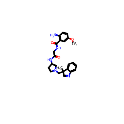 CC1(CN2CCC(NC(=O)CNC(=O)c3cc(OC(F)(F)F)ccc3N)C2)C=Nc2ccccc21